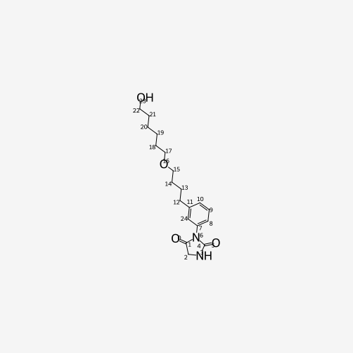 O=C1CNC(=O)N1c1cccc(CCCCOCCCCCCO)c1